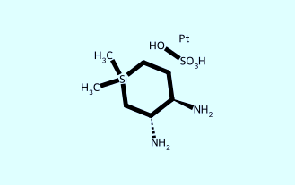 C[Si]1(C)CC[C@@H](N)[C@H](N)C1.O=S(=O)(O)O.[Pt]